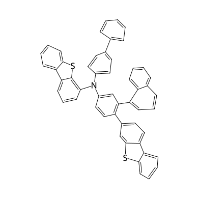 c1ccc(-c2ccc(N(c3ccc(-c4ccc5c(c4)sc4ccccc45)c(-c4cccc5ccccc45)c3)c3cccc4c3sc3ccccc34)cc2)cc1